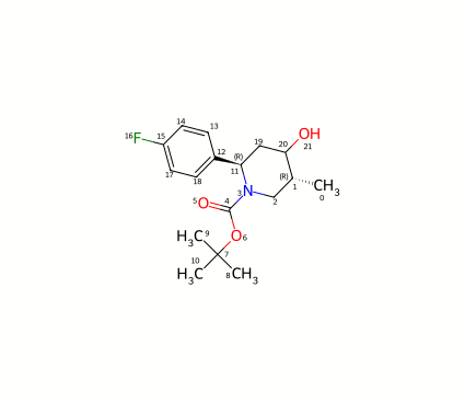 C[C@@H]1CN(C(=O)OC(C)(C)C)[C@@H](c2ccc(F)cc2)CC1O